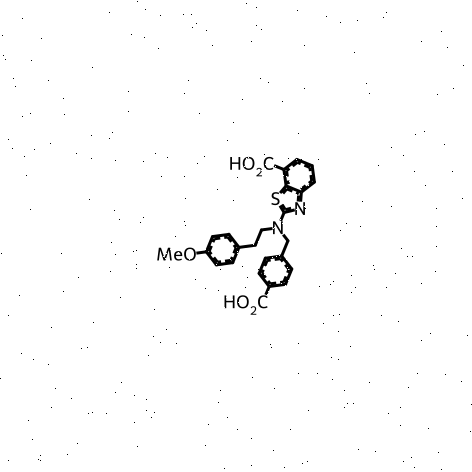 COc1ccc(CCN(Cc2ccc(C(=O)O)cc2)c2nc3cccc(C(=O)O)c3s2)cc1